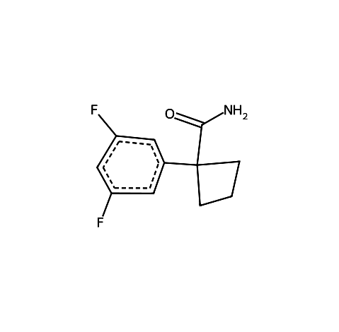 NC(=O)C1(c2cc(F)cc(F)c2)CCC1